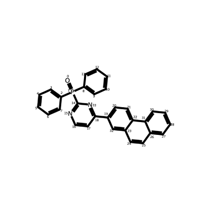 O=P(c1ccccc1)(c1ccccc1)c1nccc(-c2ccc3c(ccc4ccccc43)c2)n1